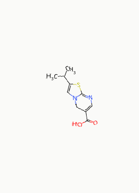 CC(C)C1=CN2CC(C(=O)O)=CN=C2S1